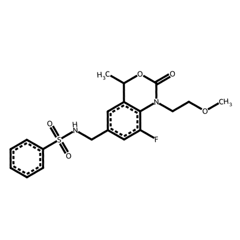 COCCN1C(=O)OC(C)c2cc(CNS(=O)(=O)c3ccccc3)cc(F)c21